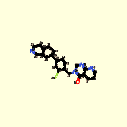 O=c1c2cccnc2ncn1Cc1ccc(-c2ccc3ccncc3c2)cc1F